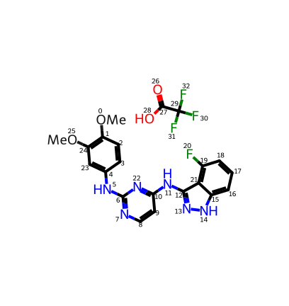 COc1ccc(Nc2nccc(Nc3n[nH]c4cccc(F)c34)n2)cc1OC.O=C(O)C(F)(F)F